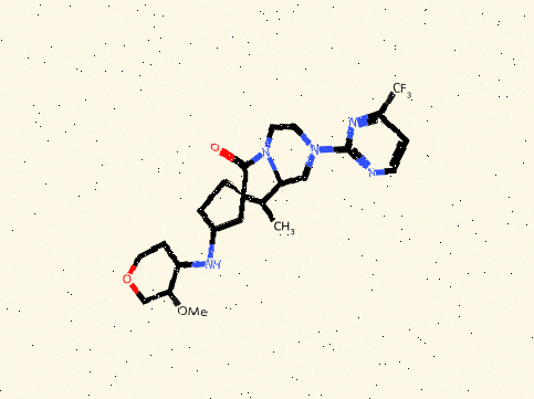 COC1COCCC1NC1CC[C@@]2(C1)C(=O)N1CCN(c3nccc(C(F)(F)F)n3)CC1C2C